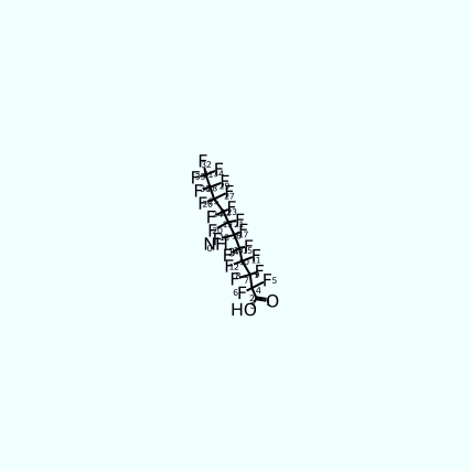 N.O=C(O)C(F)(F)C(F)(F)C(F)(F)C(F)(F)C(F)(F)C(F)(F)C(F)(F)C(F)(F)C(F)(F)C(F)(F)F